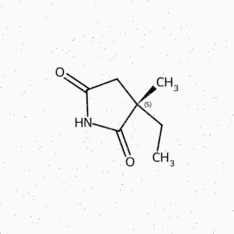 CC[C@@]1(C)CC(=O)NC1=O